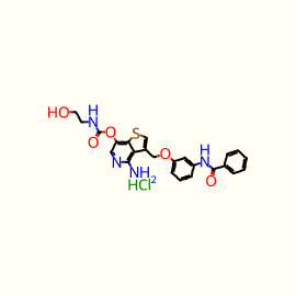 Cl.Nc1ncc(OC(=O)NCCO)c2scc(COc3cccc(NC(=O)c4ccccc4)c3)c12